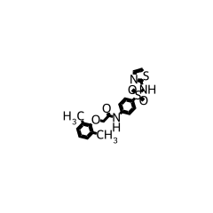 Cc1cccc(C)c1OCC(=O)Nc1ccc(S(=O)(=O)Nc2nccs2)cc1